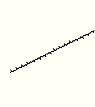 CC(C)=CCC/C(C)=C/C=C/C(C)=C/C=C/C(C)=C/C=C/C=C(C)/C=C/C=C(C)/C=C/C=C(\C)CC/C=C(\C)CC/C(C)=C/CC/C(C)=C/C=C/C(C)=C/C=C/C(C)=C/C=C/C=C(C)/C=C/C=C(C)/C=C/C=C(\C)CCC=C(C)C